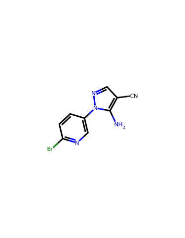 N#Cc1cnn(-c2ccc(Br)nc2)c1N